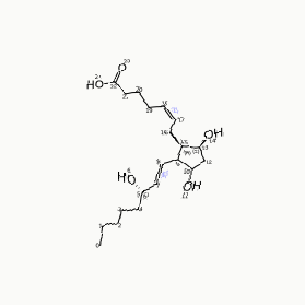 CCCCC[C@H](O)/C=C/C1C(O)C[C@H](O)[C@@H]1C/C=C\CCCC(=O)O